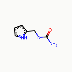 NC(=O)[N]Cc1ccc[nH]1